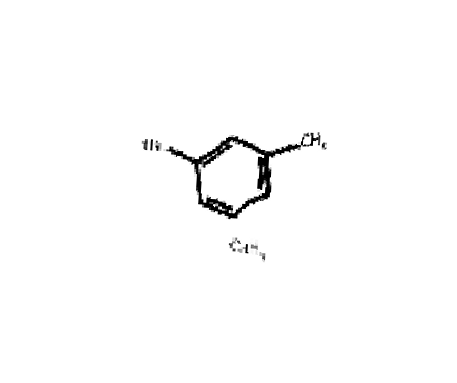 Cc1cc[c]c(C(C)(C)C)c1.[CaH2]